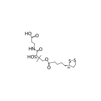 CC(C)(COC(=O)CCCC[C@@H]1CCSS1)[C@@H](O)C(=O)NCCC(=O)O